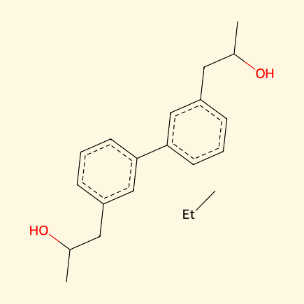 CC(O)Cc1cccc(-c2cccc(CC(C)O)c2)c1.CCC